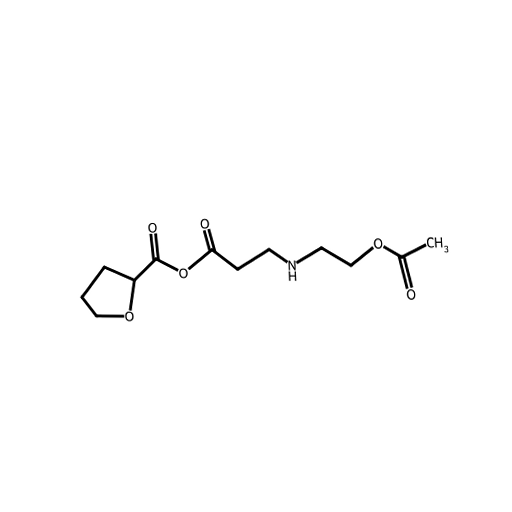 CC(=O)OCCNCCC(=O)OC(=O)C1CCCO1